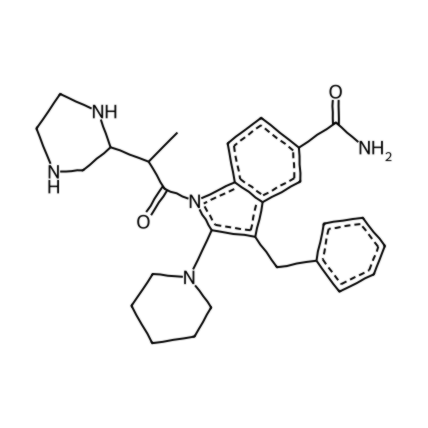 CC(C(=O)n1c(N2CCCCC2)c(Cc2ccccc2)c2cc(C(N)=O)ccc21)C1CNCCN1